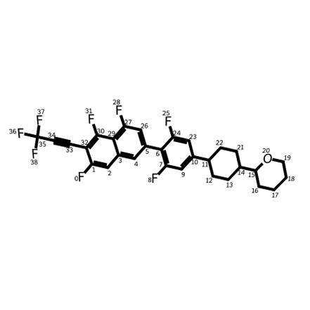 Fc1cc2cc(-c3c(F)cc(C4CCC(C5CCCCO5)CC4)cc3F)cc(F)c2c(F)c1C#CC(F)(F)F